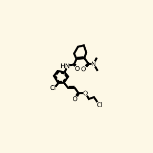 CN(C)C(=O)C1=C(C(=O)Nc2ccc(Cl)c(C=CC(=O)OCCCl)c2)CCCC1